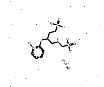 O=P([O-])([O-])CCC(CNCP(=O)([O-])O)Sc1cccc[n+]1[O-].[Na+].[Na+].[Na+]